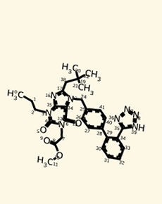 CCCn1c(=O)n(CC(=O)OC)c(=O)c2c1nc(CC(C)(C)C)n2Cc1ccc(-c2ccccc2-c2nnn[nH]2)cc1